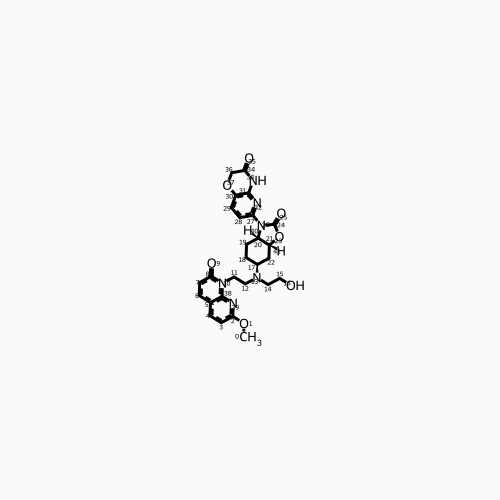 COc1ccc2ccc(=O)n(CCN(CCO)[C@H]3CC[C@H]4[C@@H](C3)OC(=O)N4c3ccc4c(n3)NC(=O)CO4)c2n1